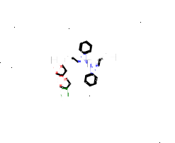 C1CCOC1.C1CCOC1.CCC[N]([Ti+2][N](CCC)c1ccccc1)c1ccccc1.[Cl-].[Cl-]